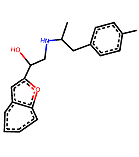 Cc1ccc(CC(C)NCC(O)c2cc3ccccc3o2)cc1